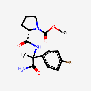 CC(C)(C)OC(=O)N1CCC[C@H]1C(=O)NC(C)(C(N)=O)c1ccc(Br)cc1